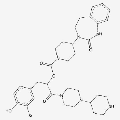 O=C(OC(Cc1ccc(O)c(Br)c1)C(=O)N1CCN(C2CCNCC2)CC1)N1CCC(N2CCc3ccccc3NC2=O)CC1